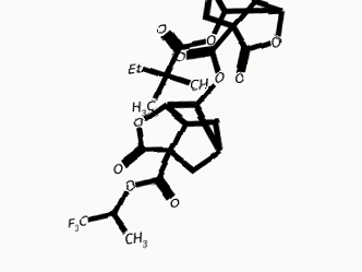 CCC(C)(C)C(=O)OC1C2CC3C1OC(=O)C3(C(=O)OC1C3CC4C1OC(=O)C4(C(=O)OC(C)C(F)(F)F)C3)C2